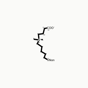 CCCCCCCCCCCCCC[N+](C)(C)CCCC(=O)[O-]